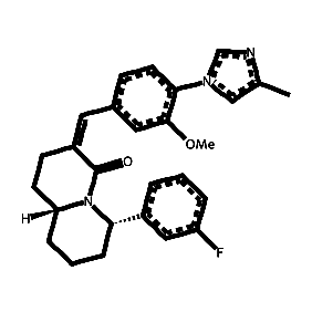 COc1cc(C=C2CC[C@H]3CCC[C@@H](c4cccc(F)c4)N3C2=O)ccc1-n1cnc(C)c1